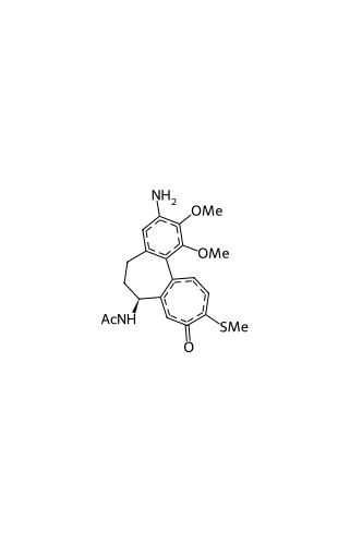 COc1c(N)cc2c(c1OC)-c1ccc(SC)c(=O)cc1[C@@H](NC(C)=O)CC2